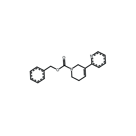 O=C(OCc1ccccc1)N1CCC=C(c2ccccn2)C1